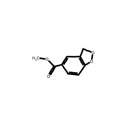 COC(=O)c1ccc2c(c1)COO2